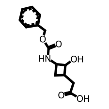 O=C(O)CC1CC(NC(=O)OCc2ccccc2)C1O